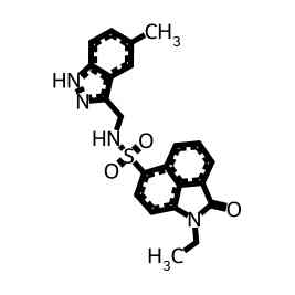 CCN1C(=O)c2cccc3c(S(=O)(=O)NCc4n[nH]c5ccc(C)cc45)ccc1c23